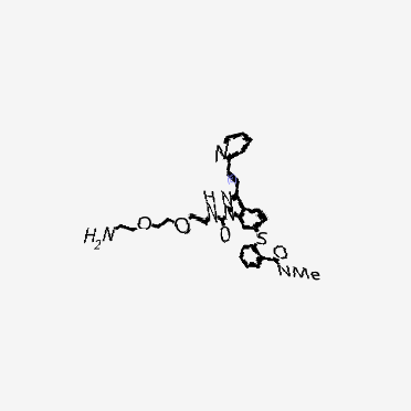 CNC(=O)c1ccccc1Sc1ccc2c(/C=C/c3ccccn3)nn(C(=O)NCCOCCOCCN)c2c1